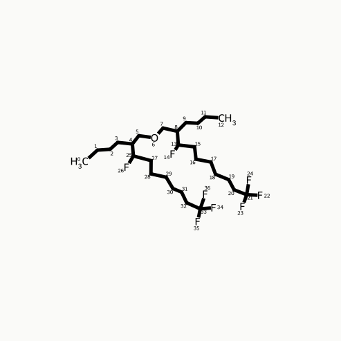 CCCCC(COCC(CCCC)C(F)CCCCCCC(F)(F)F)C(F)CCCCCCC(F)(F)F